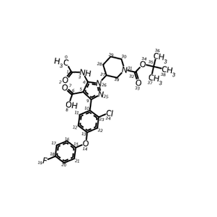 CC(=O)Nc1c(C(=O)O)c(-c2ccc(Oc3ccc(F)cc3)cc2Cl)nn1C1CCCN(C(=O)OC(C)(C)C)C1